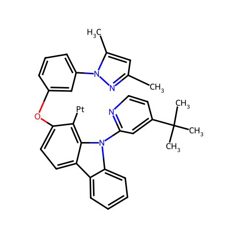 Cc1cc(C)n(-c2cccc(Oc3ccc4c5ccccc5n(-c5cc(C(C)(C)C)ccn5)c4[c]3[Pt])c2)n1